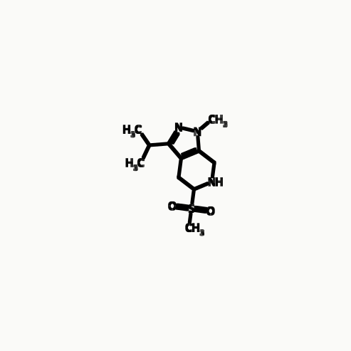 CC(C)c1nn(C)c2c1CC(S(C)(=O)=O)NC2